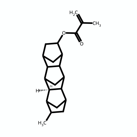 C=C(C)C(=O)OC1CC2CC1C1C3CC(C21)[C@@H]1C2CC(CC2C)C31